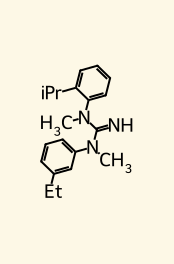 CCc1cccc(N(C)C(=N)N(C)c2ccccc2C(C)C)c1